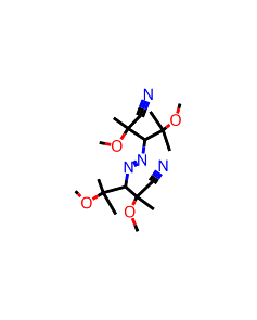 COC(C)(C)C(N=NC(C(C)(C)OC)C(C)(C#N)OC)C(C)(C#N)OC